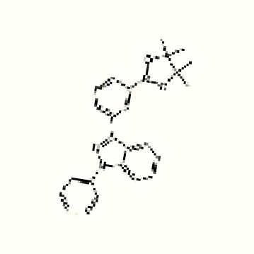 CC1(C)OB(c2cccc(-c3nn(-c4ccccc4)c4ccccc34)c2)OC1(C)C